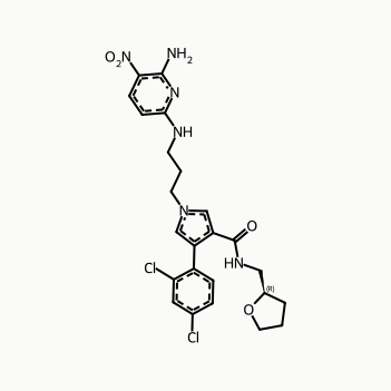 Nc1nc(NCCCn2cc(C(=O)NC[C@H]3CCCO3)c(-c3ccc(Cl)cc3Cl)c2)ccc1[N+](=O)[O-]